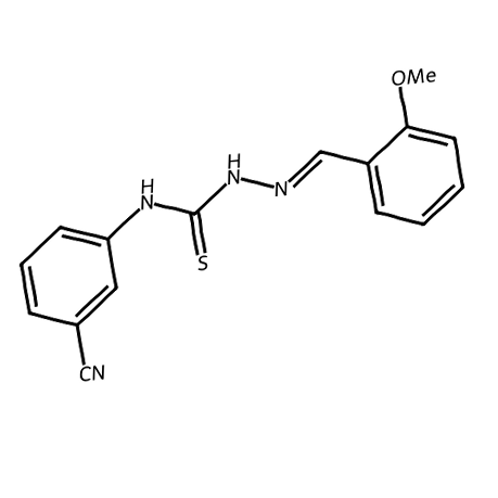 COc1ccccc1/C=N/NC(=S)Nc1cccc(C#N)c1